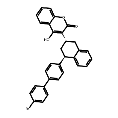 O=c1oc2ccccc2c(O)c1[C@@H]1Cc2ccccc2[C@@H](c2ccc(-c3ccc(Br)cc3)cc2)C1